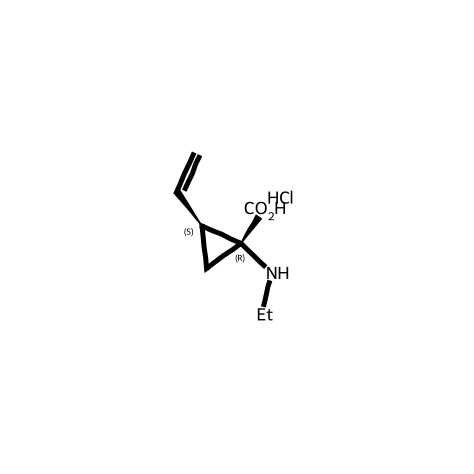 C=C[C@@H]1C[C@]1(NCC)C(=O)O.Cl